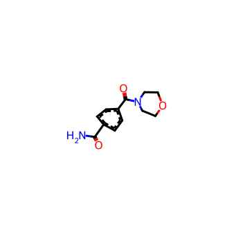 NC(=O)c1ccc(C(=O)N2CCOCC2)cc1